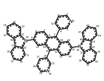 c1cncc(-c2c3ccc(-n4c5ccccc5c5ccccc54)cc3c(-c3cccnc3)c3ccc(-n4c5ccccc5c5ccccc54)cc23)c1